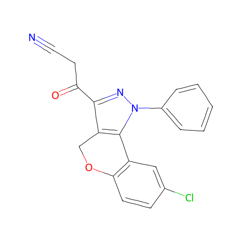 N#CCC(=O)c1nn(-c2ccccc2)c2c1COc1ccc(Cl)cc1-2